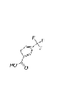 O=C(O)C1=CC(C(F)(F)F)=CC1